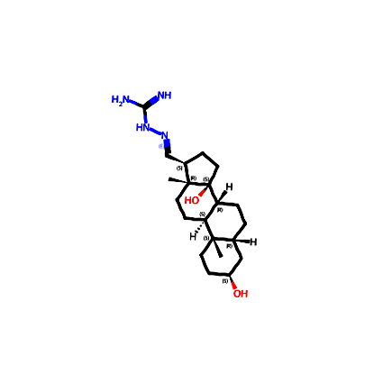 C[C@]12CC[C@H](O)C[C@H]1CC[C@@H]1[C@@H]2CC[C@]2(C)[C@@H](/C=N/NC(=N)N)CC[C@]12O